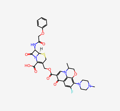 CC1COc2c(N3CCN(C)CC3)c(F)cc3c(=O)c(C(=O)OCC4=C(C(=O)O)N5C(=O)[C@@H](NC(=O)COc6ccccc6)[C@H]5SC4)cn1c23